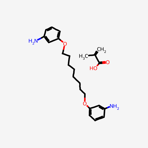 C=C(C)C(=O)O.Nc1cccc(OCCCCCCCCOc2cccc(N)c2)c1